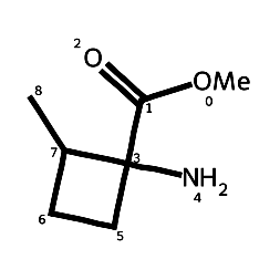 COC(=O)C1(N)CCC1C